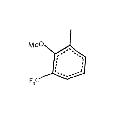 COc1c(C)cccc1C(F)(F)F